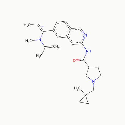 C=C(C)N(C)/C(=C\C)c1ccc2cnc(NC(=O)C3CCN(CC4(C)CC4)C3)cc2c1